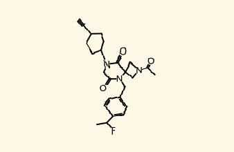 C#CC1CCC(N2CC(=O)N(Cc3ccc(C(C)F)cc3)C3(CN(C(C)=O)C3)C2=O)CC1